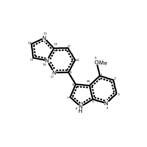 COc1ccnc2[nH]cc(-c3ccc4nccn4n3)c12